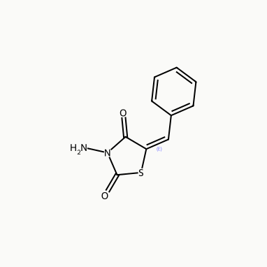 NN1C(=O)S/C(=C/c2ccccc2)C1=O